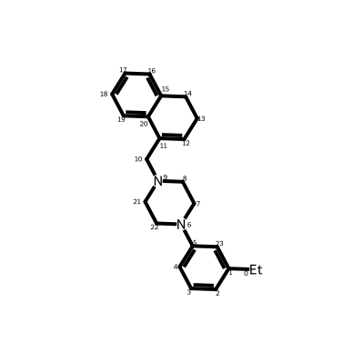 CCc1cccc(N2CCN(CC3=CCCc4ccccc43)CC2)c1